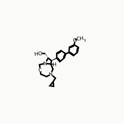 COc1cccc(-c2ccc([C@@H]3[C@@H](CO)N4CCCCN(CC5CC5)C[C@@H]34)cc2)c1